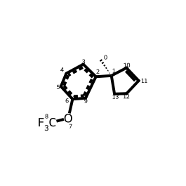 C[C@]1(c2cccc(OC(F)(F)F)c2)C=CCC1